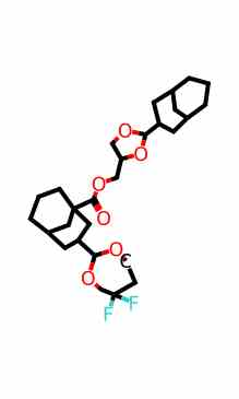 O=C(OCC1COC(C2CC3CCCC(C3)C2)O1)C12CCCC(CC(C3OCCC(F)(F)CO3)C1)C2